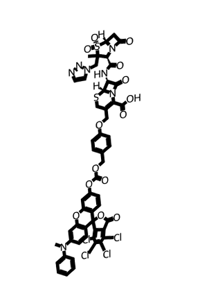 CN(c1ccccc1)c1ccc2c(c1)Oc1cc(OC(=O)OCc3ccc(OCC4=C(C(=O)O)N5C(=O)[C@@H](NC(=O)[C@@H]6N7C(=O)C[C@H]7S(=O)(=O)C6(C)Cn6ccnn6)[C@H]5SC4)cc3)ccc1C21OC(=O)c2c(Cl)c(Cl)c(Cl)c(Cl)c21